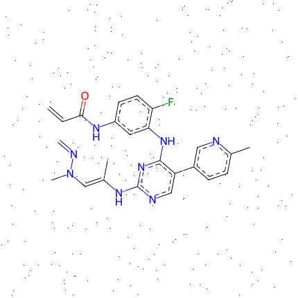 C=CC(=O)Nc1ccc(F)c(Nc2nc(N/C(C)=C/N(C)N=C)ncc2-c2ccc(C)nc2)c1